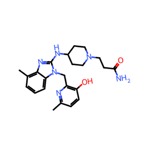 Cc1ccc(O)c(Cn2c(NC3CCN(CCC(N)=O)CC3)nc3c(C)cccc32)n1